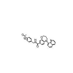 C[SH](C)(=O)c1ccc(CNC(=O)c2ccc3c(c2)OCCCN3c2cccc3cccnc23)cc1